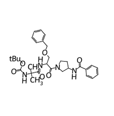 CC(C)(C)OC(=O)NC(C)(C)C(=O)NC(COCc1ccccc1)C(=O)N1CCC(NC(=O)c2ccccc2)C1